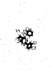 CC1(C)CCCCC1Oc1nc(-c2ccc(Cl)c(Cl)c2)nc2sccc12